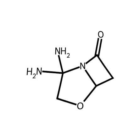 NC1(N)COC2CC(=O)N21